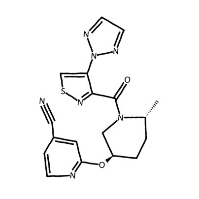 C[C@@H]1CC[C@@H](Oc2cc(C#N)ccn2)CN1C(=O)c1nscc1-n1nccn1